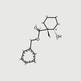 C[C@@]1(C(=O)OCc2ccccc2)CCCC[C@@H]1O